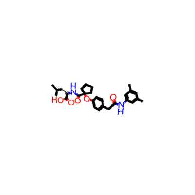 Cc1cc(C)cc(NC(=O)Cc2ccc(OC3(C(=O)N[C@@H](CC(C)C)C(=O)O)CCCC3)cc2)c1